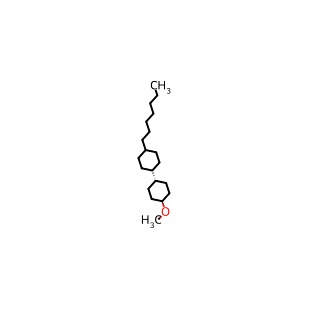 CCCCCCCC1CCC([C@H]2CC[C@H](OC)CC2)CC1